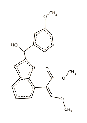 COC=C(C(=O)OC)c1cccc2cc(C(O)c3cccc(OC)c3)oc12